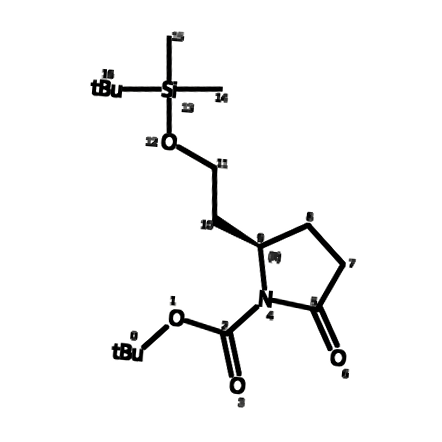 CC(C)(C)OC(=O)N1C(=O)CC[C@@H]1CCO[Si](C)(C)C(C)(C)C